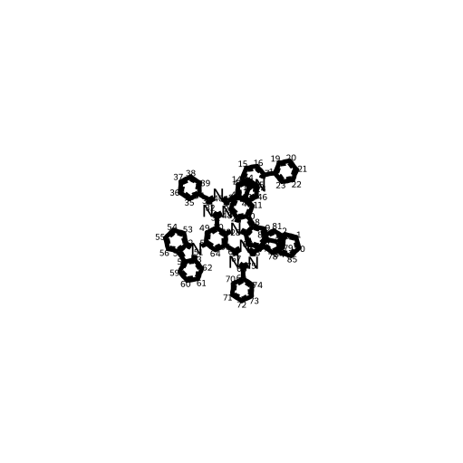 c1ccc(-c2ccc3c(c2)c2cc(-c4cccc(-c5ccccc5)n4)ccc2n3-c2c(-c3nc(-c4ccccc4)nc(-c4ccccc4)n3)cc(-n3c4ccccc4c4ccccc43)cc2-c2nc(-c3ccccc3)nc(-c3ccccc3)n2)cc1